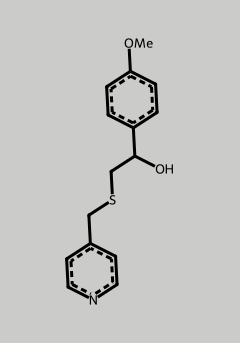 COc1ccc(C(O)CSCc2ccncc2)cc1